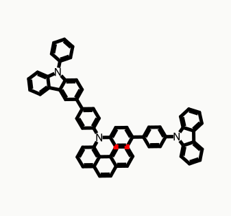 c1ccc(-n2c3ccccc3c3cc(-c4ccc(N(c5ccc(-c6ccc(-n7c8ccccc8c8ccccc87)cc6)cc5)c5cccc6ccc7ccccc7c56)cc4)ccc32)cc1